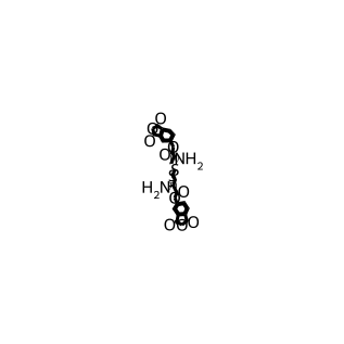 N[C@@H](CSSC[C@H](N)C(=O)Oc1ccc2c(c1)C(=O)OC2=O)C(=O)Oc1ccc2c(c1)C(=O)OC2=O